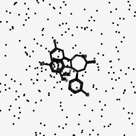 CC1=CC=C(F)CC1[C@H]1CNC(=O)C[C@@H](c2cccc(Cl)c2)[C@@]1(C=O)c1ccc(Cl)cc1N